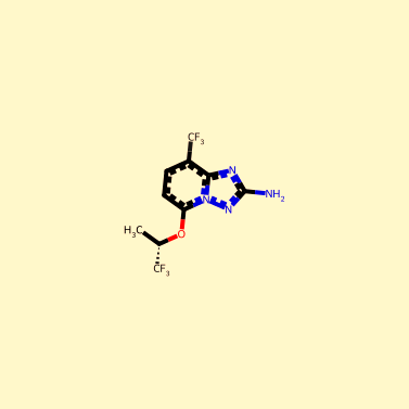 C[C@H](Oc1ccc(C(F)(F)F)c2nc(N)nn12)C(F)(F)F